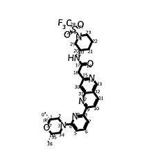 C[C@@H]1CN(c2cccc(-c3ccc4cnc(CC(=O)N[C@H]5CCCN(S(=O)(=O)C(F)(F)F)C5)cc4n3)n2)C[C@H](C)O1